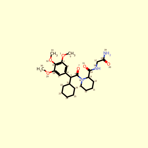 COc1cc(C(C(=O)N2CCCCC2C(=O)NCC(N)=O)C2CCCCC2)cc(OC)c1OC